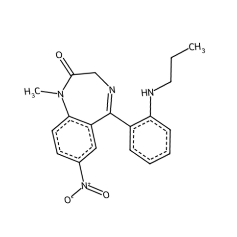 CCCNc1ccccc1C1=NCC(=O)N(C)c2ccc([N+](=O)[O-])cc21